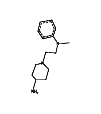 CN(CCN1CCC(N)CC1)c1ccccc1